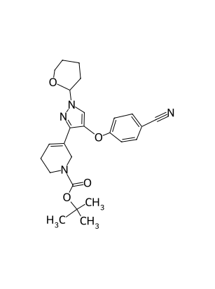 CC(C)(C)OC(=O)N1CCC=C(c2nn(C3CCCCO3)cc2Oc2ccc(C#N)cc2)C1